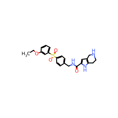 CCOc1cccc(S(=O)(=O)c2ccc(CNC(=O)c3cc4c([nH]3)CCNC4)cc2)c1